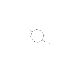 N#CC1CCCC(N)CCC1